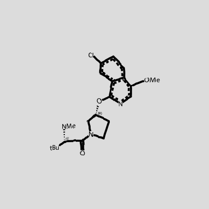 CN[C@H](C(=O)N1CC[C@@H](Oc2ncc(OC)c3ccc(Cl)cc23)C1)C(C)(C)C